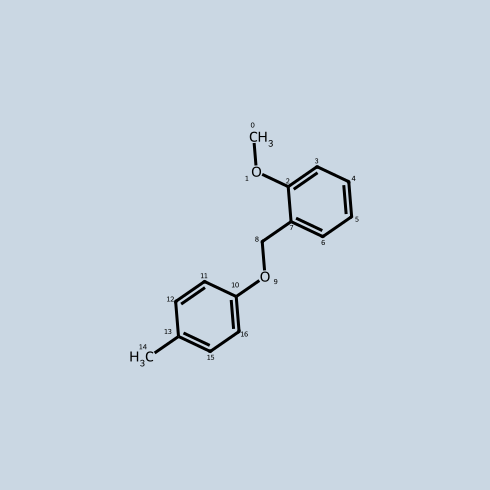 COc1ccccc1COc1ccc(C)cc1